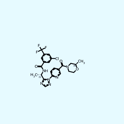 C[C@@H]1CN(C(=O)c2ccc(-n3ncnc3[C@H](C)NC(=O)c3cc(Cl)cc(C(F)(F)F)c3)nc2)CCO1